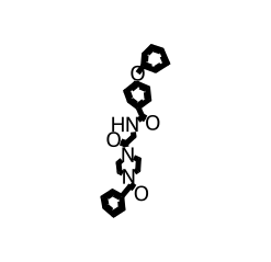 O=C(NCC(=O)N1CCN(C(=O)c2ccccc2)CC1)c1ccc(Oc2ccccc2)cc1